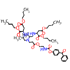 CCCCOC(=O)CC(NCC(C)N(CCC(=O)OCCNC(=O)Oc1ccc(C(=O)c2ccccc2)cc1)CC(C)NC(CC(=O)OCCCC)C(=O)OCCCC)C(=O)OCCCC